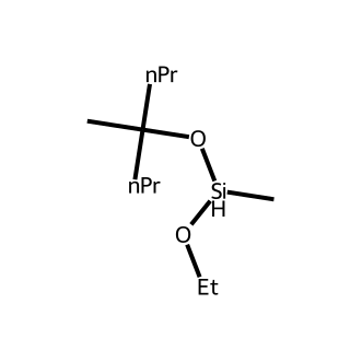 CCCC(C)(CCC)O[SiH](C)OCC